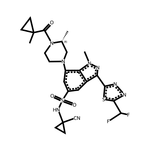 C[C@@H]1CN(c2cc(S(=O)(=O)NC3(C#N)CC3)cc3c(-c4nnc(C(F)F)s4)nn(C)c23)CCN1C(=O)C1(C)CC1